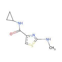 CNc1nc(C(=O)NC2CC2)cs1